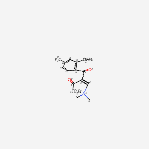 CCOC(=O)C(=O)C(=CN(C)C)C(=O)c1ccc(C(F)(F)F)cc1OC